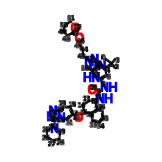 CC(C)(C)C(=N)/C=C(/NC(=O)NC1CCC(Oc2ccc3nnc(N4CCCCC4)n3c2)c2ccccc21)Nc1cnn(CCCOC2CCCCO2)c1